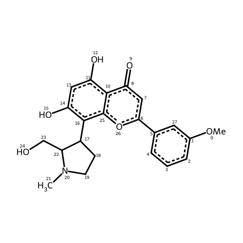 COc1cccc(-c2cc(=O)c3c(O)cc(O)c(C4CCN(C)C4CO)c3o2)c1